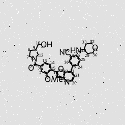 COc1cc(C(=O)N2CCC(CO)C2)ccc1-c1cc2nccc(-c3ccc(NC4CCOCC4)c(C#N)c3)c2o1